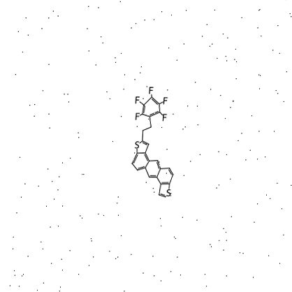 Fc1c(F)c(F)c(CCc2cc3c(ccc4cc5c(ccc6sccc65)cc43)s2)c(F)c1F